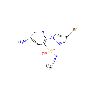 C=NS(=O)(=O)c1cc(N)cnc1-n1cc(Br)cn1